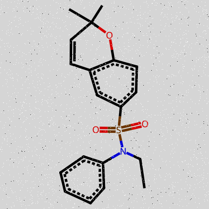 CCN(c1ccccc1)S(=O)(=O)c1ccc2c(c1)C=CC(C)(C)O2